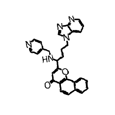 O=c1cc(C(CCCn2cnc3ncccc32)NCc2ccncc2)oc2c1ccc1ccccc12